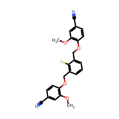 COc1cc(C#N)ccc1OCc1cccc(COc2ccc(C#N)cc2OC)c1F